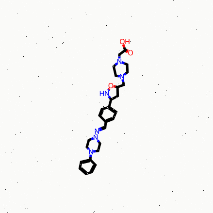 O=C(O)CN1CCN(CC2CC(c3ccc(C=NN4CCN(c5ccccc5)CC4)cc3)NO2)CC1